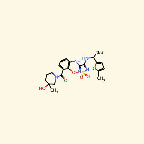 Cc1ccc(C(NC2=NS(=O)(=O)N=C2Nc2cccc(C(=O)N3CCCC(C)(O)C3)c2O)C(C)(C)C)o1